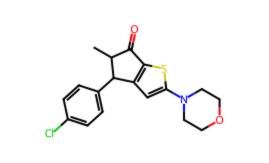 CC1C(=O)c2sc(N3CCOCC3)cc2C1c1ccc(Cl)cc1